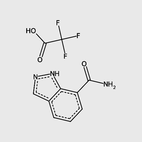 NC(=O)c1cccc2cn[nH]c12.O=C(O)C(F)(F)F